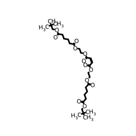 CC(C)(C)COC(=O)CCCCC(=O)OCCOC(=O)/C=C\C(=O)OCCOC(=O)CCCCC(=O)OCC(C)(C)C